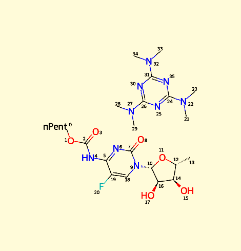 CCCCCOC(=O)Nc1nc(=O)n([C@@H]2O[C@H](C)[C@@H](O)[C@H]2O)cc1F.CN(C)c1nc(N(C)C)nc(N(C)C)n1